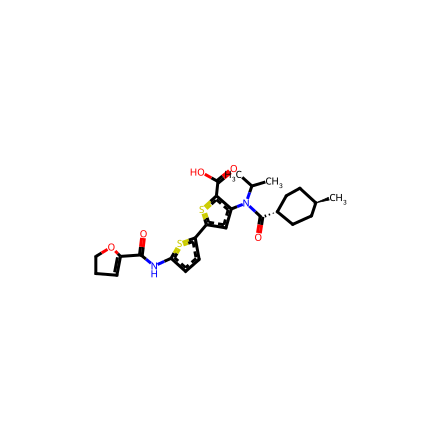 CC(C)N(c1cc(-c2ccc(NC(=O)C3=CCCO3)s2)sc1C(=O)O)C(=O)[C@H]1CC[C@H](C)CC1